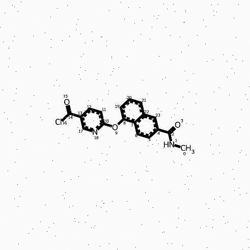 CNC(=O)c1ccc2c(Oc3ccc(C(=O)Cl)cn3)cccc2c1